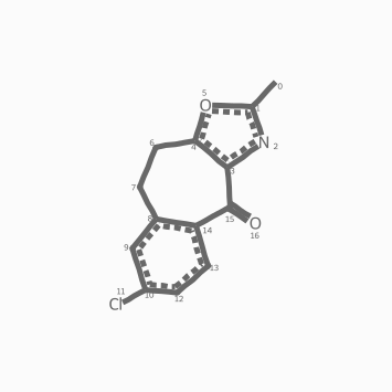 Cc1nc2c(o1)CCc1cc(Cl)ccc1C2=O